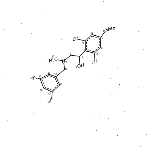 CSc1cc(Cl)c(C(O)CN(C)Cc2cc(F)cc(F)c2)c(Cl)c1